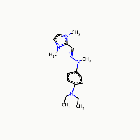 CCN(CC)c1ccc(N(C)/N=C/c2n(C)cc[n+]2C)cc1